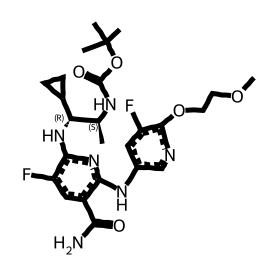 COCCOc1ncc(Nc2nc(N[C@H](C3CC3)[C@H](C)NC(=O)OC(C)(C)C)c(F)cc2C(N)=O)cc1F